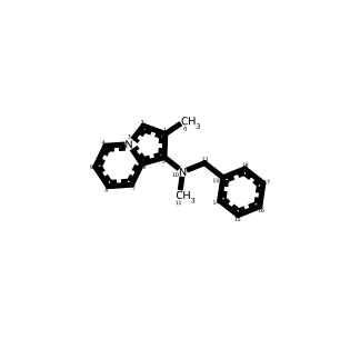 Cc1cn2ccccc2c1N(C)Cc1ccccc1